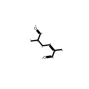 CC(C=O)=CCC(C)C=O